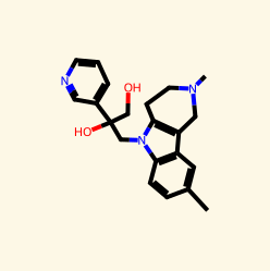 Cc1ccc2c(c1)c1c(n2CC(O)(CO)c2cccnc2)CCN(C)C1